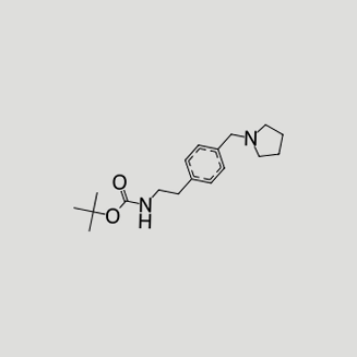 CC(C)(C)OC(=O)NCCc1ccc(CN2CCCC2)cc1